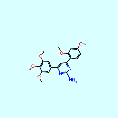 COc1ccc(-c2cc(-c3cc(OC)c(OC)c(OC)c3)nc(N)n2)c(OC)c1